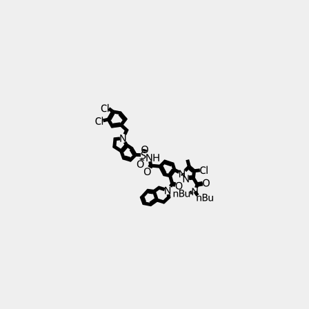 CCCCN(CCCC)C(=O)c1nn(-c2ccc(C(=O)NS(=O)(=O)c3ccc4c(c3)N(Cc3ccc(Cl)c(Cl)c3)CC4)cc2C(=O)N2CCc3ccccc3C2)c(C)c1Cl